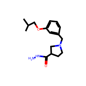 CC(C)COc1cccc(CN2CCC(C(=O)NN)C2)c1